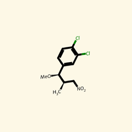 CO[C@@H](c1ccc(Cl)c(Cl)c1)[C@H](C)C[N+](=O)[O-]